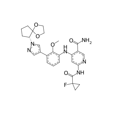 COc1c(Nc2cc(NC(=O)C3(F)CC3)ncc2C(N)=O)cccc1-c1cnn([C@@H]2CCCC23OCCO3)c1